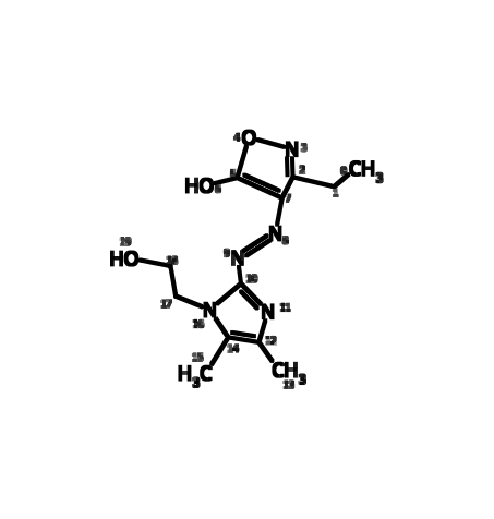 CCc1noc(O)c1N=Nc1nc(C)c(C)n1CCO